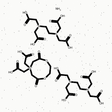 N.O=C(O)CN(CCN(CC(=O)O)CC(=O)O)CC(=O)O.O=C(O)CN(CCN(CC(=O)O)CC(=O)O)CC(=O)O.O=C(O)C[N+]1(CC(=O)O)CC(=O)OCCOC(=O)C1